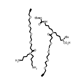 C#CCOCCOCCOCCOCCC(=O)N(CCCCN)CCCCN.C#CCOCCOCCOCCOCCC(=O)N(CCCCNC(=O)OC(C)(C)C)CCCCN(C(=O)O)C(C)(C)C